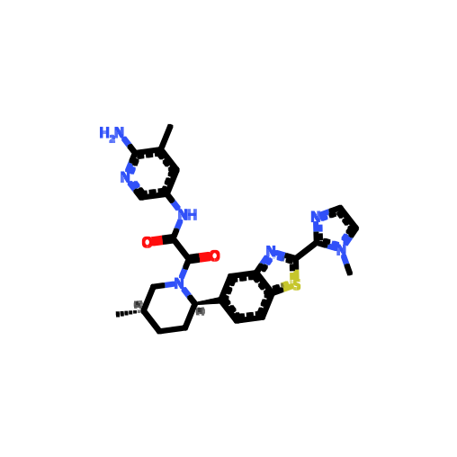 Cc1cc(NC(=O)C(=O)N2C[C@@H](C)CC[C@@H]2c2ccc3sc(-c4nccn4C)nc3c2)cnc1N